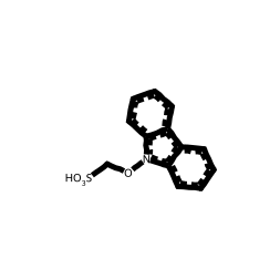 O=S(=O)(O)COn1c2ccccc2c2ccccc21